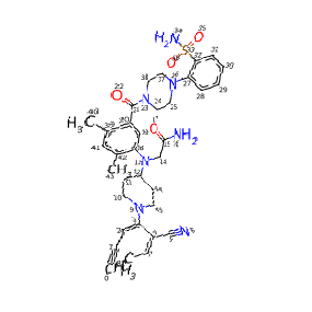 C#C/C=C(\C(C#N)=C/C)N1CCC(N(CC(N)=O)c2cc(C(=O)N3CCN(c4ccccc4S(N)(=O)=O)CC3)c(C)cc2C)CC1